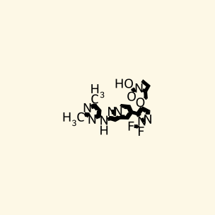 Cc1cc(Nc2cc3cc(-c4c(OCC5CCN5C(=O)O)cnn4C(F)F)ccn3n2)nc(C)n1